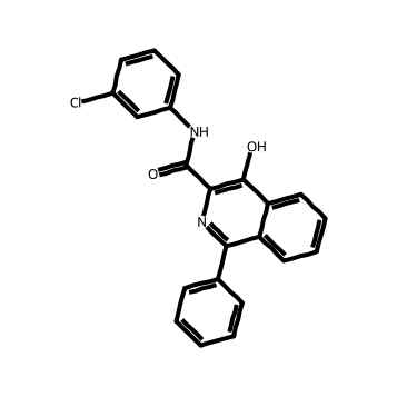 O=C(Nc1cccc(Cl)c1)c1nc(-c2ccccc2)c2ccccc2c1O